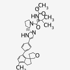 COC(=O)N[C@H](C(=O)N1CCC[C@H]1c1ncc(-c2ccc(-c3ccc(C)c4c3C3(CCOC3)CC4)cc2)[nH]1)C(C)C